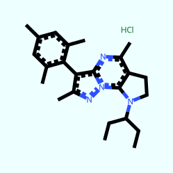 CCC(CC)N1CCc2c(C)nc3c(-c4c(C)cc(C)cc4C)c(C)nn3c21.Cl